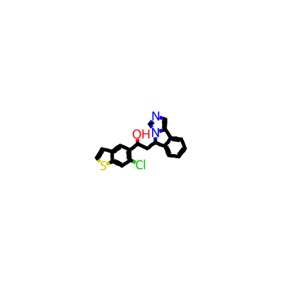 OC(CC1c2ccccc2-c2cncn21)c1cc2ccsc2cc1Cl